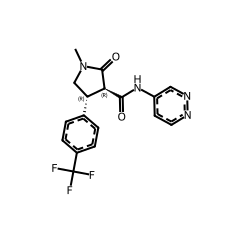 CN1C[C@@H](c2ccc(C(F)(F)F)cc2)[C@H](C(=O)Nc2ccnnc2)C1=O